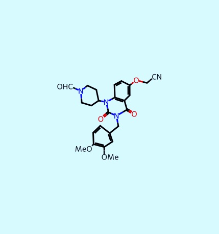 COc1ccc(Cn2c(=O)c3cc(OCC#N)ccc3n(C3CCN(C=O)CC3)c2=O)cc1OC